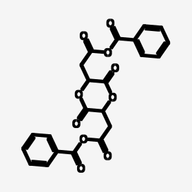 O=C(CC1OC(=O)C(CC(=O)OC(=O)c2ccccc2)OC1=O)OC(=O)c1ccccc1